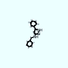 c1ccc(CNc2cc(-c3ccccc3)[nH]n2)cc1